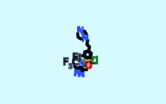 CCc1cc(CCCN2CCCN(C)CC2)cc(Cl)c1[S+]([O-])N(CC(F)(F)F)c1c(C)nn(C)c1C